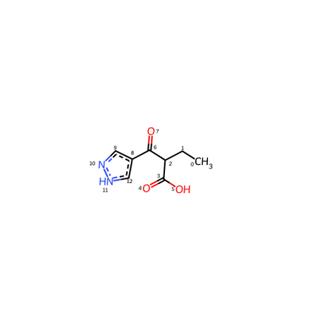 CCC(C(=O)O)C(=O)c1cn[nH]c1